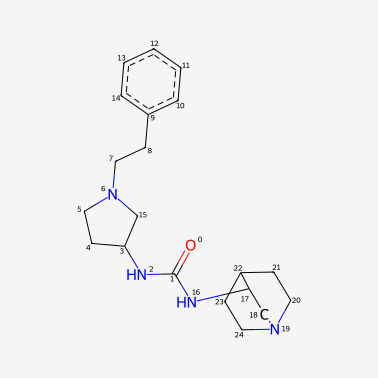 O=C(NC1CCN(CCc2ccccc2)C1)NC1CN2CCC1CC2